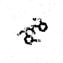 COc1ccccc1NC(=O)NN(CC(C)C)c1ccnc(C#N)n1